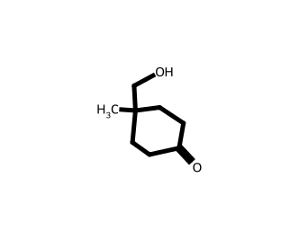 CC1(CO)CCC(=O)CC1